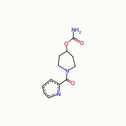 NC(=O)OC1CCN(C(=O)c2ccccn2)CC1